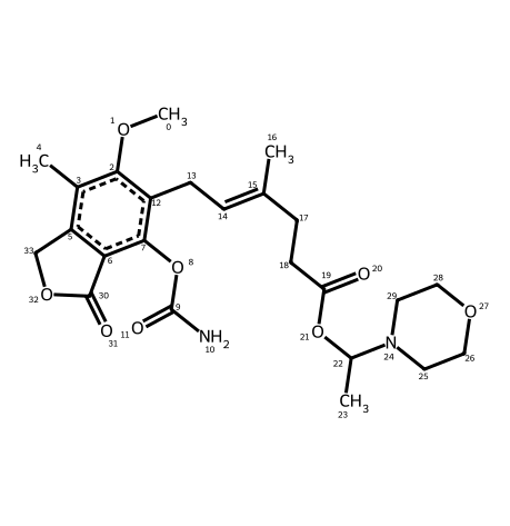 COc1c(C)c2c(c(OC(N)=O)c1C/C=C(\C)CCC(=O)OC(C)N1CCOCC1)C(=O)OC2